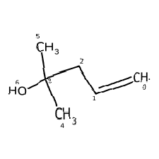 [CH]=CCC(C)(C)O